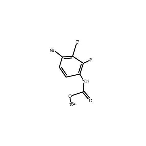 CC(C)(C)OC(=O)Nc1ccc(Br)c(Cl)c1F